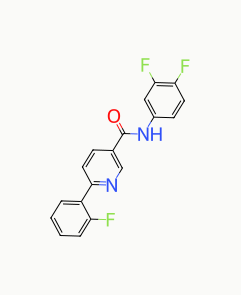 O=C(Nc1ccc(F)c(F)c1)c1ccc(-c2ccccc2F)nc1